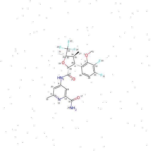 COc1c([C@@H]2[C@H](C(=O)Nc3cc(C)nc(C(N)=O)c3)O[C@@](C)(C(F)(F)F)[C@H]2C)ccc(F)c1F